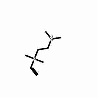 C=C[Si](C)(C)CC[SiH](C)C